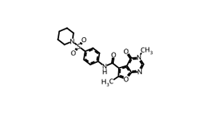 Cc1oc2ncn(C)c(=O)c2c1C(=O)Nc1ccc(S(=O)(=O)N2CCCCC2)cc1